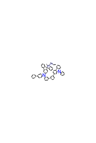 C=C/C=C\C=C(/C)C1(c2ccccc2)c2ccccc2-c2cc(N(c3ccc(-c4ccccc4)cc3)c3cccc(-c4cccc(-c5ccc6c7ccccc7n(-c7ccccc7)c6c5)c4)c3)ccc21